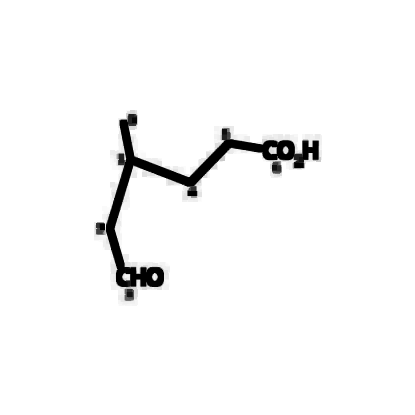 CC(CC=O)CCC(=O)O